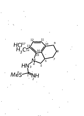 CSC(=N)NN1CC2CCCc3ccc(C)c1c32.Cl